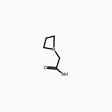 [NH]C(=O)CN1CCC1